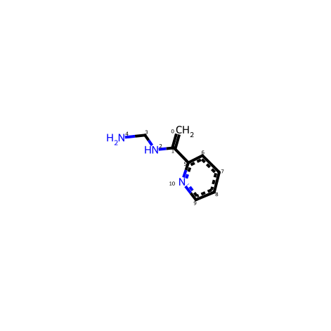 C=C(NCN)c1ccccn1